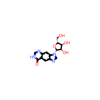 O=c1[nH]cnc2cc3c(cc12)ncn3[C@@H]1O[C@H](CO)[C@@H](O)[C@H]1O